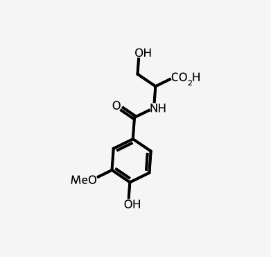 COc1cc(C(=O)NC(CO)C(=O)O)ccc1O